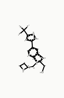 FC(F)(F)c1nc(-c2cnc3c(c2)nc(CCl)n3C[C@@H]2CCO2)no1